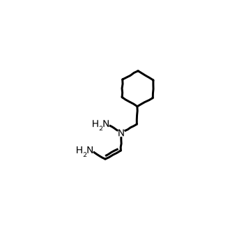 N/C=C\N(N)CC1CCCCC1